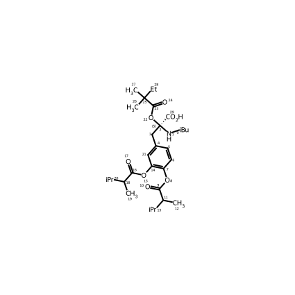 CCC(C)N[C@@](Cc1ccc(OC(=O)C(C)C(C)C)c(OC(=O)C(C)C(C)C)c1)(OC(=O)C(C)(C)CC)C(=O)O